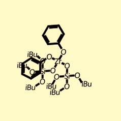 CCC(C)O[Si](OC(C)CC)(OC(C)CC)[O][Zr]([O]c1ccccc1)([O]c1ccccc1)[O][Si](OC(C)CC)(OC(C)CC)OC(C)CC